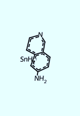 Nc1ccc2cnccc2c1.[SnH2]